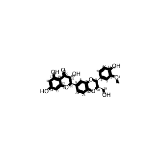 COc1cc([C@H]2Oc3cc([C@H]4Oc5cc(O)cc(O)c5C(=O)[C@@H]4O)ccc3O[C@H]2CO)ccc1O